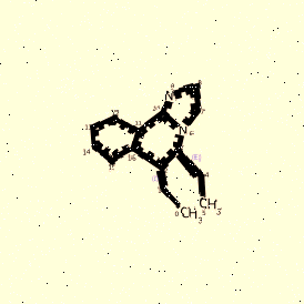 C/C=c1\c(=C/C)n2ccnc2c2ccccc12